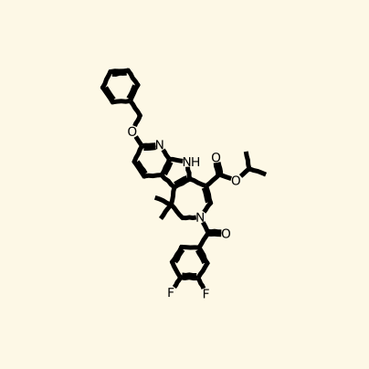 CC(C)OC(=O)C1=CN(C(=O)c2ccc(F)c(F)c2)CC(C)(C)c2c1[nH]c1nc(OCc3ccccc3)ccc21